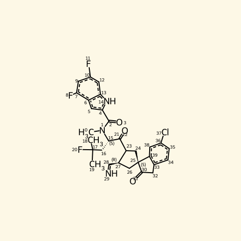 CN(C(=O)c1cc2c(F)cc(F)cc2[nH]1)[C@@H](CC(C)(C)F)C(=O)C1C[C@]2(C[C@H]1C=N)C(=O)Cc1ccc(Cl)cc12